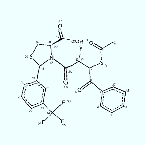 CC(=O)SC(C(=O)c1ccccc1)[C@@H](C)C(=O)N1C(c2cccc(C(F)(F)F)c2)SC[C@H]1C(=O)O